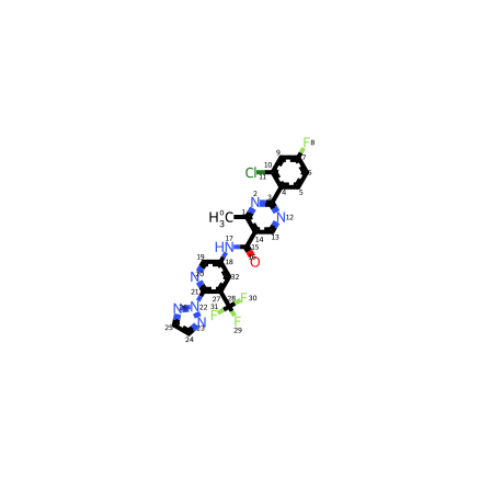 Cc1nc(-c2ccc(F)cc2Cl)ncc1C(=O)Nc1cnc(-n2nccn2)c(C(F)(F)F)c1